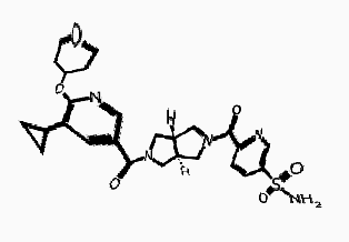 NS(=O)(=O)c1ccc(C(=O)N2C[C@H]3CN(C(=O)c4cnc(OC5CCOCC5)c(C5CC5)c4)C[C@@H]3C2)nc1